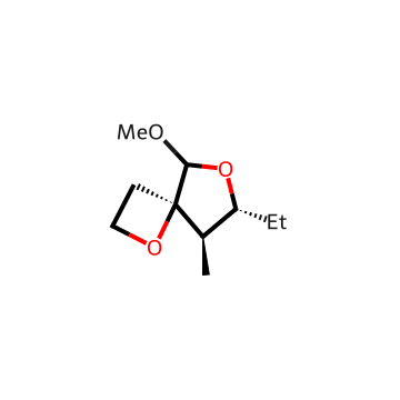 CC[C@H]1OC(OC)[C@@]2(CCO2)[C@@H]1C